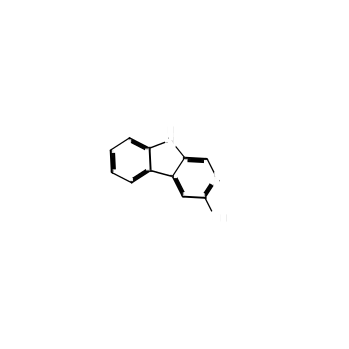 O=Cc1cc2c(cn1)[nH]c1ccccc12